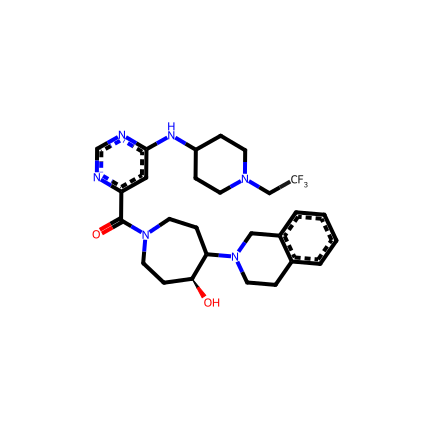 O=C(c1cc(NC2CCN(CC(F)(F)F)CC2)ncn1)N1CCC(N2CCc3ccccc3C2)[C@@H](O)CC1